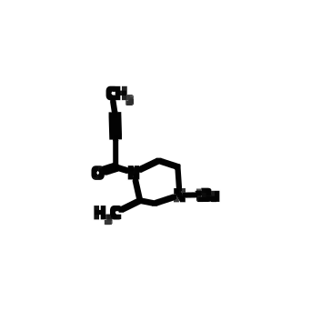 CC#CC(=O)N1CCN(C(C)(C)C)CC1C